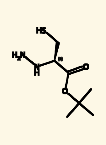 CC(C)(C)OC(=O)[C@H](CS)NN